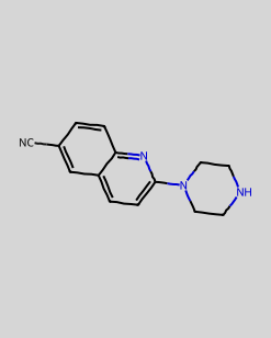 N#Cc1ccc2nc(N3CCNCC3)ccc2c1